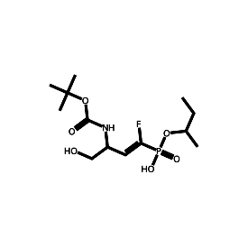 CCC(C)OP(=O)(O)C(F)=CC(CO)NC(=O)OC(C)(C)C